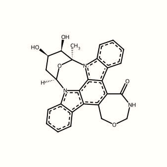 C[C@]12O[C@H](C[C@@H](O)[C@H]1O)n1c3ccccc3c3c4c(c5c6ccccc6n2c5c31)C(=O)NCOC4